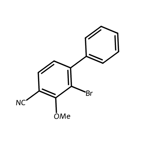 COc1c(C#N)ccc(-c2ccccc2)c1Br